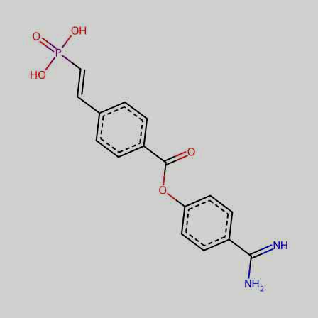 N=C(N)c1ccc(OC(=O)c2ccc(/C=C/P(=O)(O)O)cc2)cc1